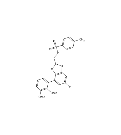 COc1cccc(-c2cc(Cl)cc3c2OC(COS(=O)(=O)c2ccc(C)cc2)O3)c1OC